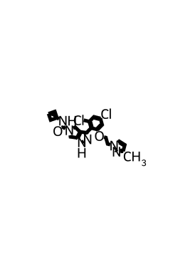 Cc1ccn(CCOc2cc(Cl)cc(Cl)c2-c2n[nH]c3c2CN(C(=O)NC24CC(C2)C4)C3)n1